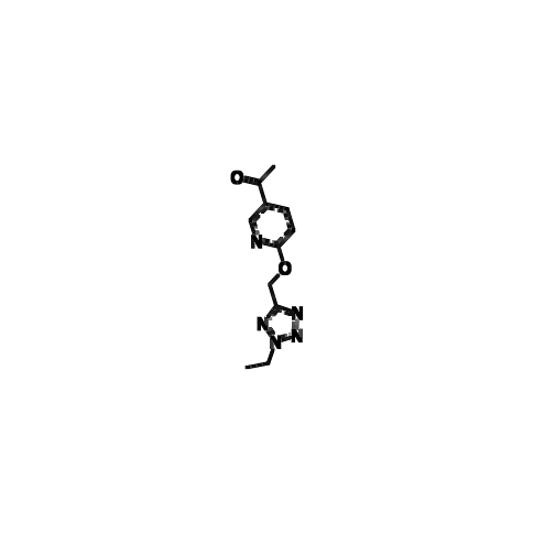 CCn1nnc(COc2ccc(C(C)=O)cn2)n1